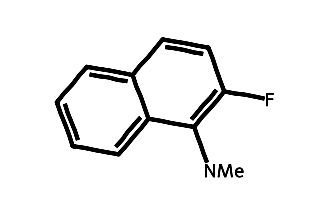 CNc1c(F)ccc2ccccc12